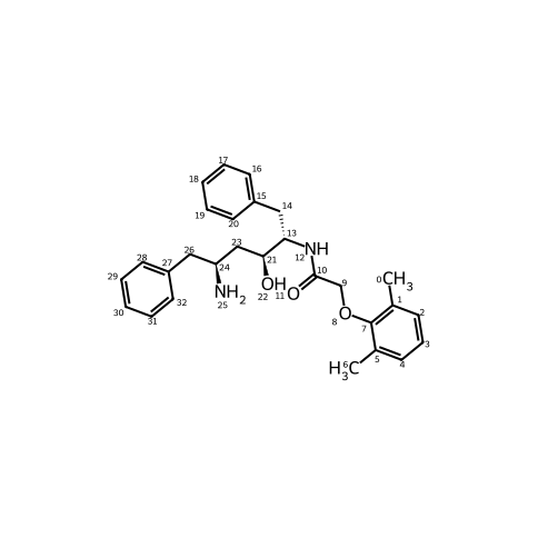 Cc1cccc(C)c1OCC(=O)N[C@@H](Cc1ccccc1)[C@@H](O)C[C@@H](N)Cc1ccccc1